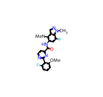 CNc1c(NC(=O)c2ccnc(-c3c(F)cccc3OC)n2)cc(F)c2c1cnn2C